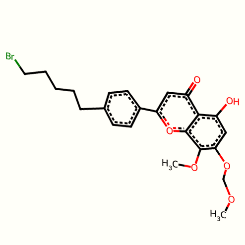 COCOc1cc(O)c2c(=O)cc(-c3ccc(CCCCCBr)cc3)oc2c1OC